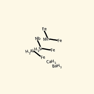 [AlH2][Fe].[BaH2].[CaH2].[Fe][Mn][Fe].[Fe][SiH2][Nb]